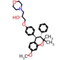 COc1ccc2c(c1)OC(C)(C)[C@@H](c1ccccc1)[C@@H]2c1ccc(OC[C@H](O)CN2CCOCC2)cc1